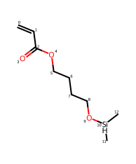 C=CC(=O)OCCCCO[SiH](C)C